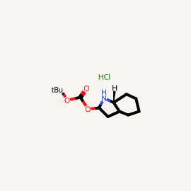 CC(C)(C)OC(=O)OC1CC2CCCC[C@H]2N1.Cl